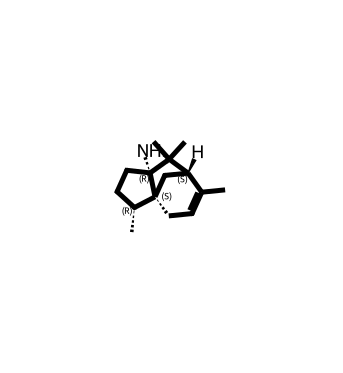 CC1=CC[C@@]23C[C@@H]1C(C)(C)[C@]2(N)CC[C@H]3C